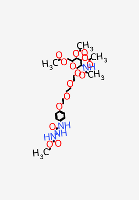 CCOC(=O)NNC(=O)Nc1ccc(OCCOCCOCCOC2OC(COC(C)=O)C(OC(C)=O)C(OC(C)=O)C2NC(C)=O)cc1